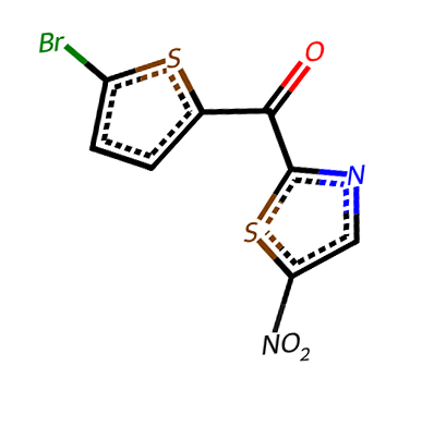 O=C(c1ccc(Br)s1)c1ncc([N+](=O)[O-])s1